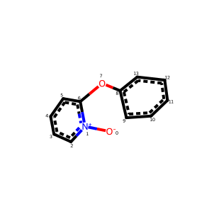 [O-][n+]1ccccc1Oc1ccccc1